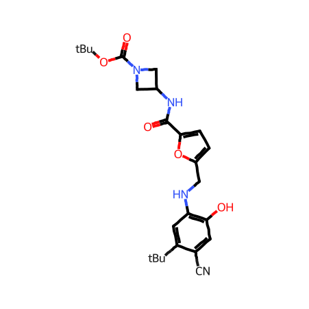 CC(C)(C)OC(=O)N1CC(NC(=O)c2ccc(CNc3cc(C(C)(C)C)c(C#N)cc3O)o2)C1